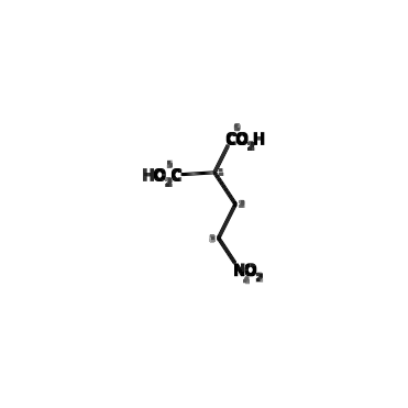 O=C(O)C(CC[N+](=O)[O-])C(=O)O